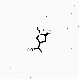 CCCC(C)C1CC(=O)N(P)C1